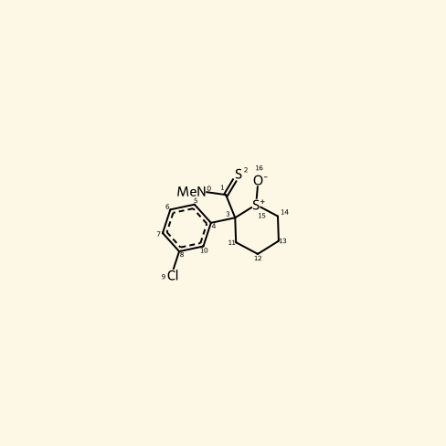 CNC(=S)C1(c2cccc(Cl)c2)CCCC[S+]1[O-]